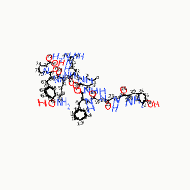 CC(C)CC(NC(=O)C(Cc1ccccc1)NC(=O)CNC(=O)CNC(=O)C(N)Cc1ccc(O)cc1)C(=O)NC(CCCNC(=N)N)C(=O)NC(CCCCN)C(=O)NC(Cc1ccc(O)cc1)C(=O)N1CCC[C@H]1C(=O)O